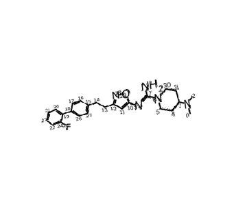 CN(C)C1CCN(C(N)=Nc2cc(CCc3ccc(-c4ccccc4F)cc3)no2)CC1